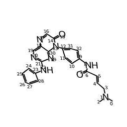 CN(C)CC=CC(=O)Nc1ccc(-n2c(=O)cnc3cnc(Nc4ccccc4)nc32)cc1